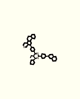 CCC1C(c2ccc(-c3cc4c5ccccc5ccc4c4ccncc34)cc2)=NC(c2ccc(-c3ccc4ccccc4c3)cc2)=NC1c1ccccc1